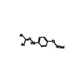 CCCCCCOc1ccc(NN=C(C(C)=O)C(C)=O)cc1